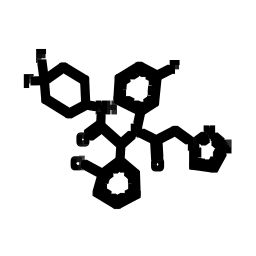 O=C(NC1CCC(F)(F)CC1)C(c1ccccc1Cl)N(C(=O)Cn1ccnn1)c1cccc(F)c1